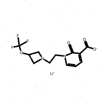 O=C([O-])c1cccn(CCN2CC(OC(F)(F)F)C2)c1=O.[Li+]